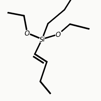 CCC=C[Si](CCC)(OCC)OCC